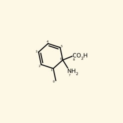 CC1C=CC=CC1(N)C(=O)O